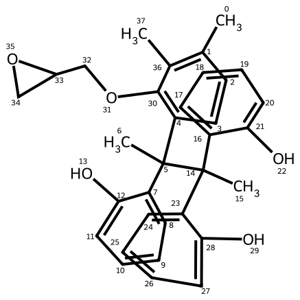 Cc1ccc(C(C)(c2ccccc2O)C(C)(c2ccccc2O)c2ccccc2O)c(OCC2CO2)c1C